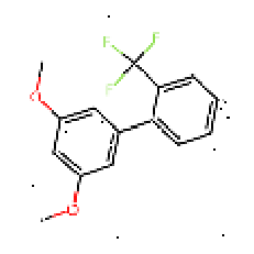 COc1cc(OC)cc(-c2cc[c]cc2C(F)(F)F)c1